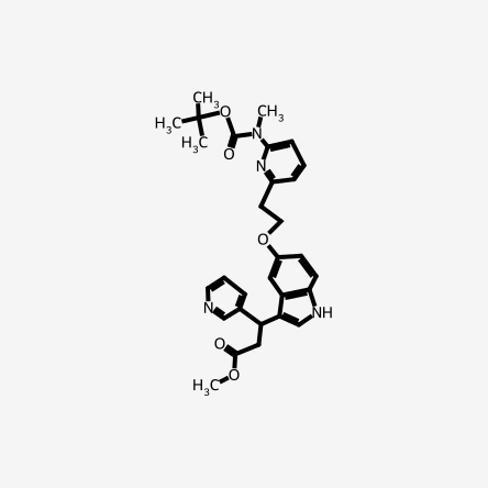 COC(=O)CC(c1cccnc1)c1c[nH]c2ccc(OCCc3cccc(N(C)C(=O)OC(C)(C)C)n3)cc12